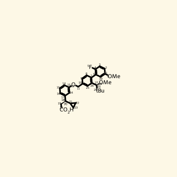 COc1ccc(F)c(-c2ccc(COc3cccc([C@H](CC(=O)O)C4CC4)c3)cc2[C@@H](OC)C(C)(C)C)c1